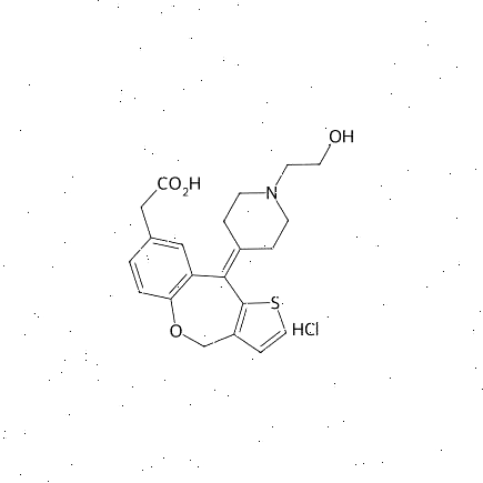 Cl.O=C(O)Cc1ccc2c(c1)C(=C1CCN(CCO)CC1)c1sccc1CO2